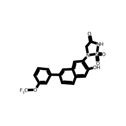 O=C1CN(c2cc3cc(-c4cccc(OC(F)(F)F)c4)ccc3cc2O)S(=O)(=O)N1